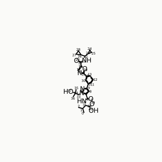 CC(C)[C@H](NC(=O)c1cc(-c2cccc(-c3ncc(C(=O)NC(C4CC4)C4CC4)o3)c2)nn1CC(C)(C)O)C(=O)O